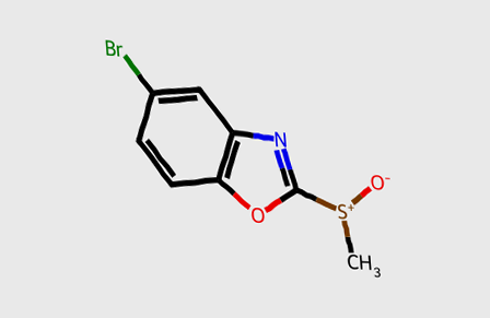 C[S+]([O-])c1nc2cc(Br)ccc2o1